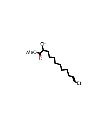 CCC=CCCCCCCCCC(C)C(=O)OC